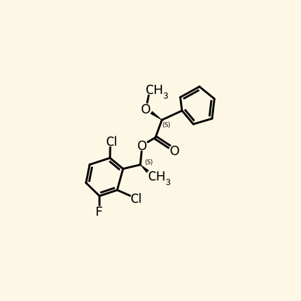 CO[C@H](C(=O)O[C@@H](C)c1c(Cl)ccc(F)c1Cl)c1ccccc1